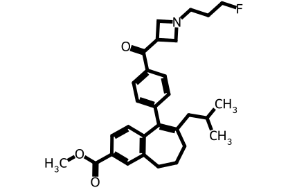 COC(=O)c1ccc2c(c1)CCCC(CC(C)C)=C2c1ccc(C(=O)C2CN(CCCF)C2)cc1